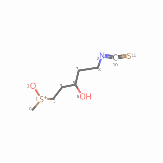 C[S+]([O-])CCC(O)CCN=C=S